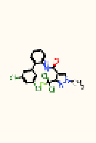 Cn1cc(C(=O)Nc2ccccc2-c2cc(Cl)cc(Cl)c2)c(C(F)(Cl)Cl)n1